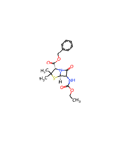 CCOC(=O)N[C@@H]1C(=O)N2[C@@H]1SC(C)(C)[C@@H]2C(=O)OCc1ccccc1